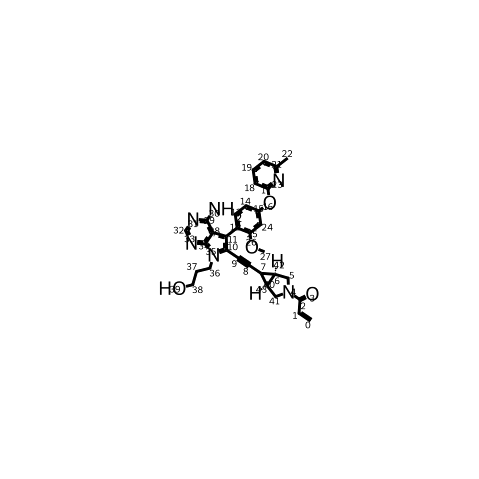 C=CC(=O)N1C[C@@H]2C(C#Cc3c(-c4ccc(Oc5cccc(C)n5)cc4OC)c4c(N)ncnc4n3CCCO)[C@@H]2C1